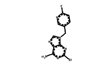 CCc1nc(N)c2ncn(Cc3ccc(F)nc3)c2n1